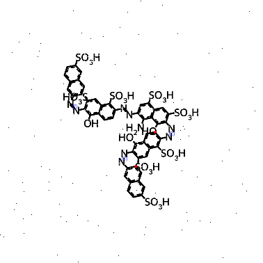 Nc1c(N=Nc2ccc3c(O)c(/N=N\c4ccc5cc(S(=O)(=O)O)ccc5c4)c(S(=O)(=O)O)cc3c2S(=O)(=O)O)cc(S(=O)(=O)O)c2cc(S(=O)(=O)O)c(/N=N\c3ccc4c(O)c(/N=N\c5ccc6cc(S(=O)(=O)O)ccc6c5)c(S(=O)(=O)O)cc4c3S(=O)(=O)O)c(O)c12